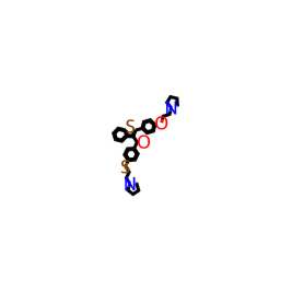 O=C(c1ccc(SCCN2CCCC2)cc1)c1c(-c2ccc(OCCN3CCCC3)cc2)sc2ccccc12